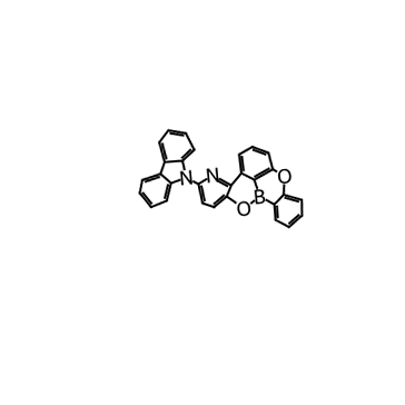 c1ccc2c(c1)Oc1cccc3c1B2Oc1ccc(-n2c4ccccc4c4ccccc42)nc1-3